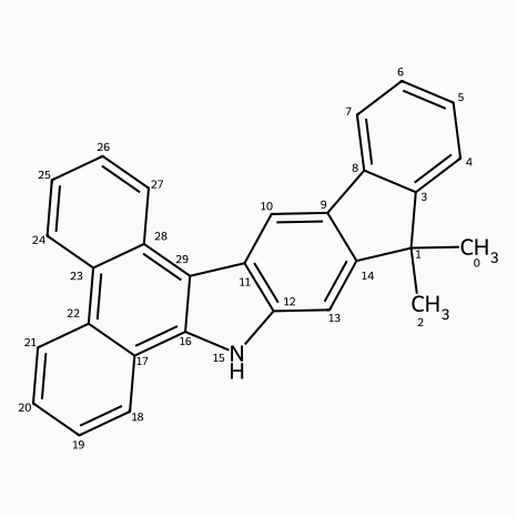 CC1(C)c2ccccc2-c2cc3c(cc21)[nH]c1c2ccccc2c2ccccc2c31